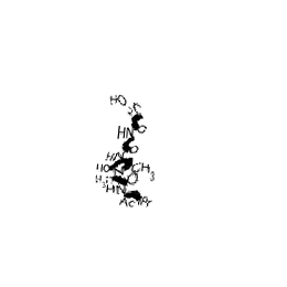 CC(=O)C(CC(C)C)NC(=O)C(C)N1C(C)CC(NC(=O)CCNC(=O)CCC(=O)O)C1O